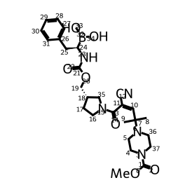 COC(=O)N1CCN(C(C)(C)C=C(C#N)C(=O)N2CC[C@H](COC(=O)N[C@@H](Cc3ccccc3)B(O)O)C2)CC1